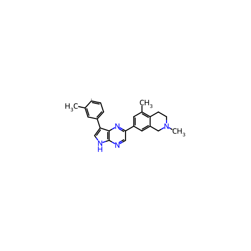 Cc1[c]ccc(-c2c[nH]c3ncc(-c4cc(C)c5c(c4)CN(C)CC5)nc23)c1